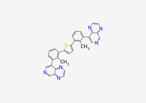 Cc1c(-c2ccc(-c3cccc(-c4cncc5nccnc45)c3C)s2)cccc1-c1cncc2nccnc12